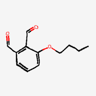 CCCCOc1cccc(C=O)c1C=O